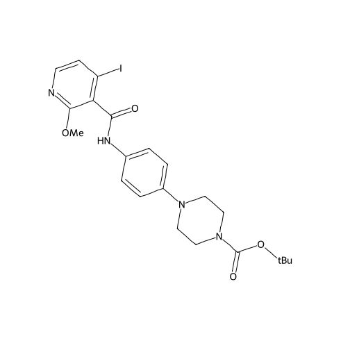 COc1nccc(I)c1C(=O)Nc1ccc(N2CCN(C(=O)OC(C)(C)C)CC2)cc1